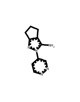 Nc1c2c(nn1-c1ccnnc1)CCC2